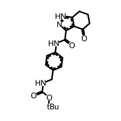 CC(C)(C)OC(=O)NCc1ccc(NC(=O)c2n[nH]c3c2C(=O)CCC3)cc1